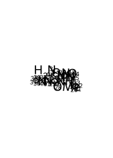 C=C(C(N)=O)c1cc(Nc2cc(N3OCC[C@H]3Cc3ccccc3)ncn2)c(OC)cc1N1CCN(C2CCCC2)CC1